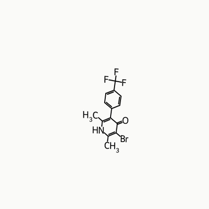 Cc1[nH]c(C)c(-c2ccc(C(F)(F)F)cc2)c(=O)c1Br